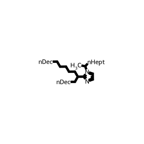 CCCCCCCCCCCCCCCC(CCCCCCCCCCC)c1nccn1C(C)CCCCCCC